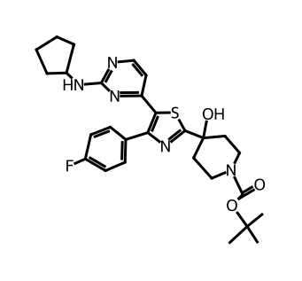 CC(C)(C)OC(=O)N1CCC(O)(c2nc(-c3ccc(F)cc3)c(-c3ccnc(NC4CCCC4)n3)s2)CC1